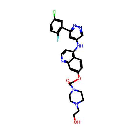 O=C(Oc1ccc2c(Nc3cnnc(-c4cc(Cl)ccc4F)c3)ccnc2c1)N1CCN(CCO)CC1